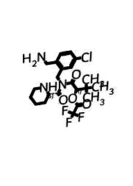 CC(C)(C)[C@@H](OC(=O)C(F)(F)F)C(=O)N(Cc1cc(Cl)ccc1CN)C(=O)[C@@H]1CCCCN1